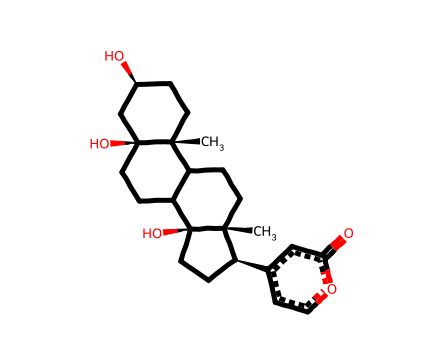 C[C@]12CC[C@H](O)C[C@@]1(O)CCC1C2CC[C@]2(C)[C@@H](c3ccoc(=O)c3)CC[C@]12O